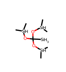 C[SiH](C)OC([SiH3])(O[SiH](C)C)O[SiH](C)C